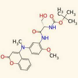 COc1ccc(N(C)c2cc(=O)oc3ccccc23)cc1NC(=O)[C@H](CO)NC(=O)OC(C)(C)C